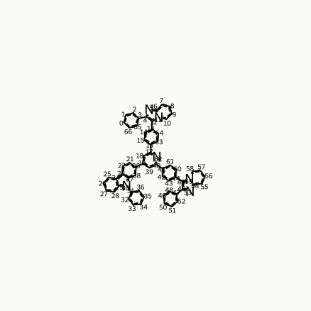 c1ccc(-c2nc3ccccn3c2-c2ccc(-c3cc(-c4ccc5c6ccccc6n(-c6ccccc6)c5c4)cc(-c4ccc(-c5c(-c6ccccc6)nc6ccccn56)cc4)n3)cc2)cc1